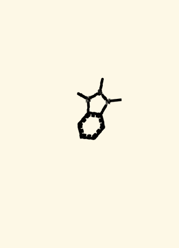 CB1N(C)c2ccccc2N1C